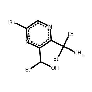 CCC(C)c1cnc(C(C)(CC)CC)c(C(O)CC)n1